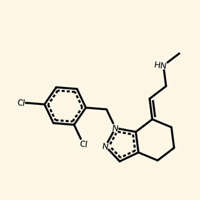 CNCC=C1CCCc2cnn(Cc3ccc(Cl)cc3Cl)c21